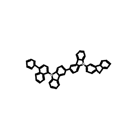 c1ccc(-c2ccc(-n3c4ccccc4c4cc(-c5ccc6c(c5)c5ccccc5n6-c5ccc6c(c5)-c5ccccc5C6)ccc43)c3ccccc23)cc1